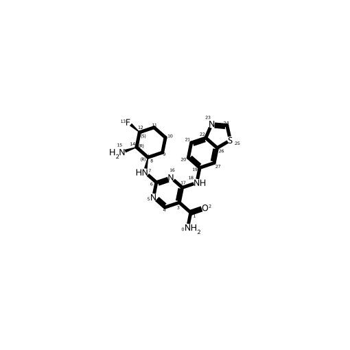 NC(=O)c1cnc(N[C@@H]2CCC[C@H](F)[C@@H]2N)nc1Nc1ccc2ncsc2c1